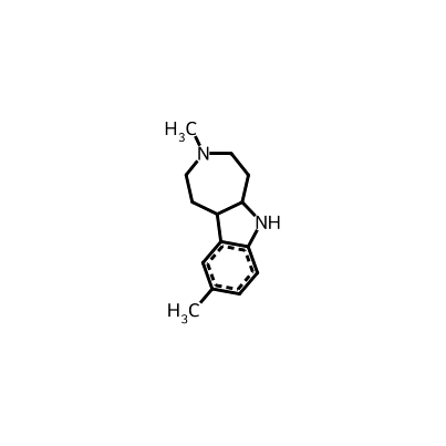 Cc1ccc2c(c1)C1CCN(C)CCC1N2